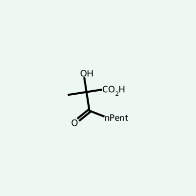 CCCCCC(=O)C(C)(O)C(=O)O